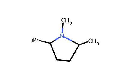 CC(C)C1CCC(C)N1C